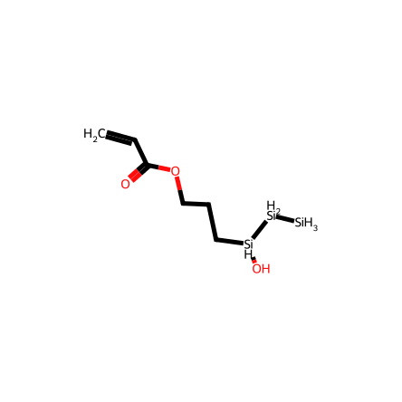 C=CC(=O)OCCC[SiH](O)[SiH2][SiH3]